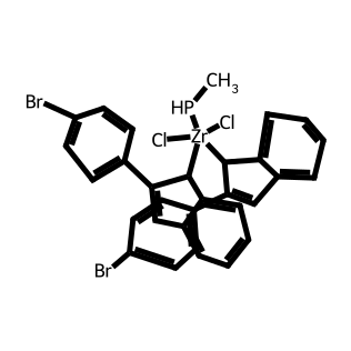 C[PH][Zr]([Cl])([Cl])([CH]1C(c2ccc(Br)cc2)=Cc2ccccc21)[CH]1C(c2ccc(Br)cc2)=Cc2ccccc21